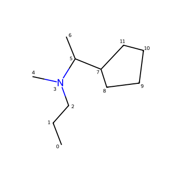 CCCN(C)C(C)C1CCCC1